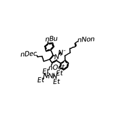 CCCCCCCCCC=CCCCc1ccccc1C1=C(CCCCCCCC)C(CCCCCCCCCCCCC)=C(c2ccc(CCCC)cc2)[N+]1=[N-].CC[N](CC)[Ni][N](CC)CC